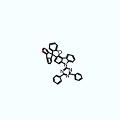 c1ccc(-c2nc(-c3ccccc3)nc(-n3c4ccccc4c4c5c(ccc43)C3(c4ccccc4O5)c4ccccc4-c4ccccc43)n2)cc1